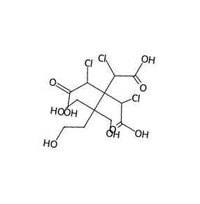 O=C(O)C(Cl)C(C(Cl)C(=O)O)(C(Cl)C(=O)O)C(CO)(CO)CCO